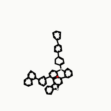 c1c(-c2ccccc2N(C2=CC=C(c3ccc(-c4ccccc4)cc3)CC2)c2ccc(-c3cccc(-c4cccc5ccccc45)c3)cc2)cc2oc3ccccc3c2c#1